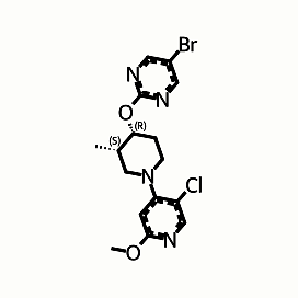 COc1cc(N2CC[C@@H](Oc3ncc(Br)cn3)[C@@H](C)C2)c(Cl)cn1